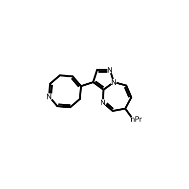 CCCC1C=Cn2ncc(C3=CC/C=N\C=C/C3)c2N=C1